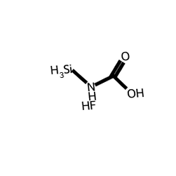 F.O=C(O)N[SiH3]